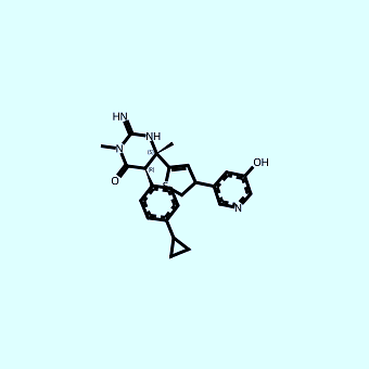 CN1C(=N)N[C@](C)(C2=CC(c3cncc(O)c3)CS2)[C@@H](c2ccc(C3CC3)cc2)C1=O